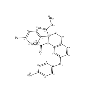 COC(=O)C1c2cc(Oc3ccc(C(C)(C)C)cc3)ccc2CC[N+]1(C(=O)OC(C)(C)C)c1ccc(Br)cc1